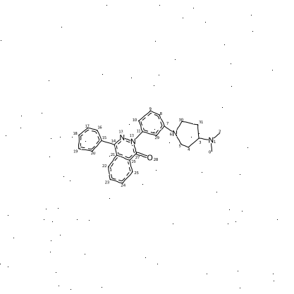 CN(C)C1CCN(c2cccc(-n3nc(-c4ccccc4)c4ccccc4c3=O)c2)CC1